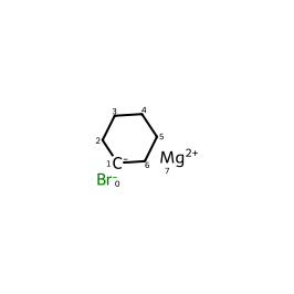 [Br-].[CH-]1CCCCC1.[Mg+2]